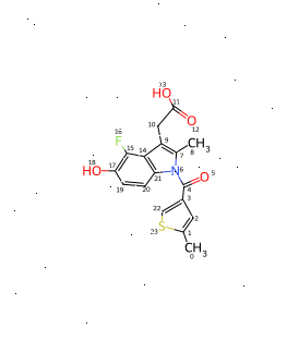 Cc1cc(C(=O)n2c(C)c(CC(=O)O)c3c(F)c(O)ccc32)cs1